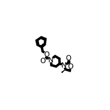 C[C@@H]1COC(=O)N1C1CCN(C(=O)OCc2ccccc2)CC1